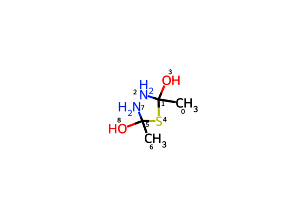 CC(N)(O)SC(C)(N)O